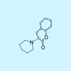 O=c1oc2ccccc2cc1N1CCCCC1